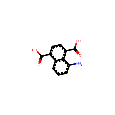 Nc1cccc2c(C(=O)O)ccc(C(=O)O)c12